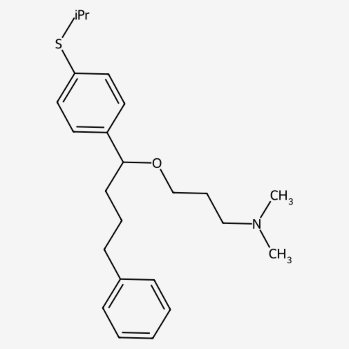 CC(C)Sc1ccc(C(CCCc2ccccc2)OCCCN(C)C)cc1